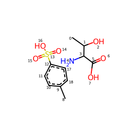 CC(O)C(N)C(=O)O.Cc1ccc(S(=O)(=O)O)cc1